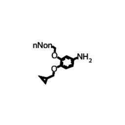 CCCCCCCCCCOc1cc(N)ccc1OCC1CC1